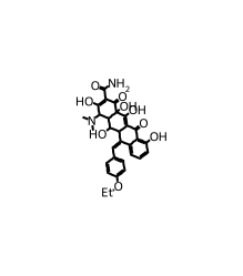 CCOc1ccc(/C=C2\c3cccc(O)c3C(=O)C3=C(O)C4(O)C(=O)C(C(N)=O)=C(O)C(N(C)C)C4C(O)C32)cc1